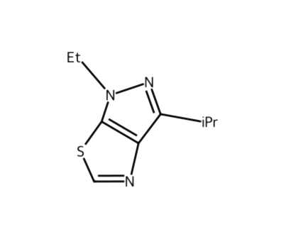 CCn1nc(C(C)C)c2ncsc21